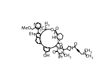 CCn1c(-c2cccnc2COC)c2c3cc(ccc31)-c1cc(O)cc(c1)C[C@H](NC(=O)[C@H](C(C)C)N(C)C(=O)C1CN(C(=O)C#CCN(C)C)C1)C(=O)N1CCC[C@H](N1)C(=O)OCC(C)(C)C2